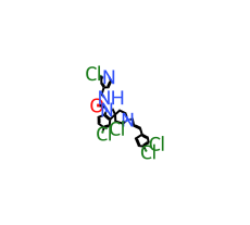 O=C(NCc1ccnc(Cl)c1)N1CC2(CCN(C/C=C/c3ccc(Cl)c(Cl)c3)CC2)c2c1ccc(Cl)c2Cl